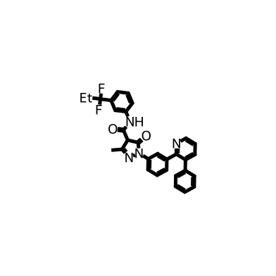 CCC(F)(F)c1cccc(NC(=O)C2C(=O)N(c3cccc(-c4ncccc4-c4ccccc4)c3)N=C2C)c1